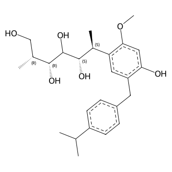 COc1cc(O)c(Cc2ccc(C(C)C)cc2)cc1[C@H](C)[C@H](O)C(O)[C@H](O)[C@H](C)CO